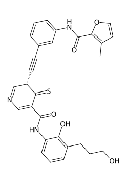 Cc1ccoc1C(=O)Nc1cccc(C#C[C@H]2C=NC=C(C(=O)Nc3cccc(CCCO)c3O)C2=S)c1